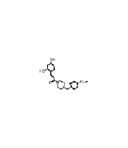 CCOc1ccc(CN2CCN(C(=O)/C=C/c3ccc(O)cc3O)CC2)cc1